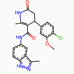 COc1cc(C2CC(=O)NC(C)=C2C(=O)Nc2ccc3[nH]nc(C)c3c2)ccc1Cl